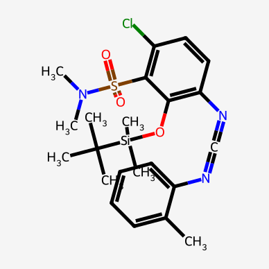 Cc1ccccc1N=C=Nc1ccc(Cl)c(S(=O)(=O)N(C)C)c1O[Si](C)(C)C(C)(C)C